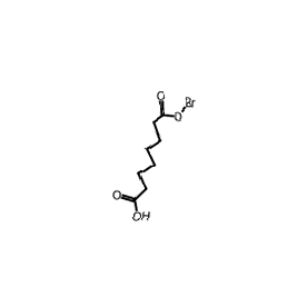 O=C(O)CCCCCCC(=O)OBr